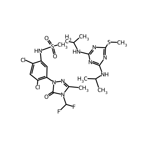 CSc1nc(NC(C)C)nc(NC(C)C)n1.Cc1nn(-c2cc(NS(C)(=O)=O)c(Cl)cc2Cl)c(=O)n1C(F)F